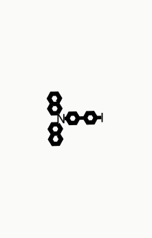 Ic1ccc(-c2ccc(N(c3ccc4ccccc4c3)c3ccc4ccccc4c3)cc2)cc1